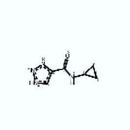 O=C(NC1CC1)c1c[nH]nn1